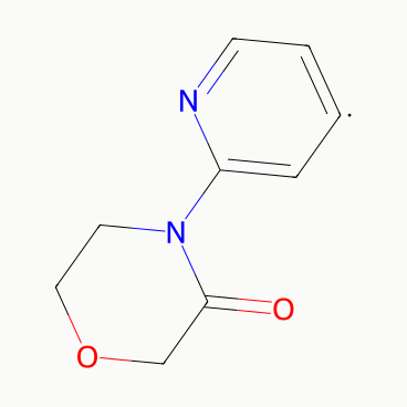 O=C1COCCN1c1c[c]ccn1